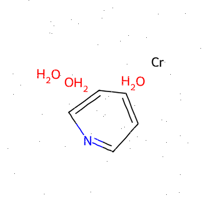 O.O.O.[Cr].c1ccncc1